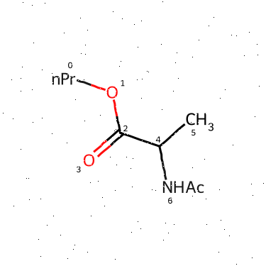 CCCOC(=O)C(C)NC(C)=O